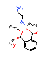 CC(=O)[O-].CCCCCOC(=O)c1ccccc1C(=O)OCCCCC.NCCN.[Na+]